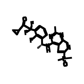 Cc1nc(N[C@H](C)c2cccc(C(F)(F)C(=O)C3CC3)c2F)c2cc(P(C)(C)=O)ncc2n1